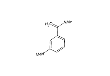 C=C(NC)c1cccc(NC)c1